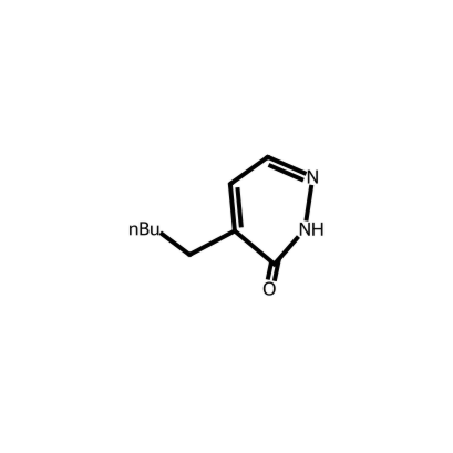 CCCCCc1ccn[nH]c1=O